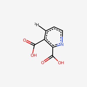 [2H]c1ccnc(C(=O)O)c1C(=O)O